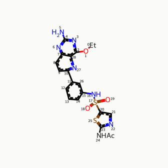 CCOc1nc(N)nc2ccc(-c3cccc(NS(=O)(=O)c4cnc(NC(C)=O)s4)c3)nc12